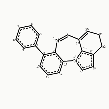 C1=Nc2c(-c3ccccc3)cccc2-n2ccc3c2C1=CCC3